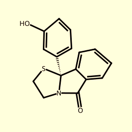 O=C1c2ccccc2[C@]2(c3cccc(O)c3)SCCN12